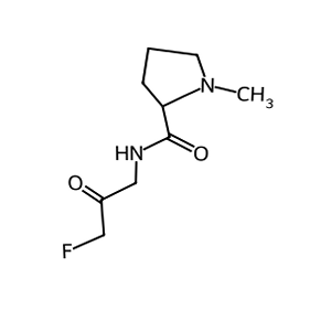 CN1CCCC1C(=O)NCC(=O)CF